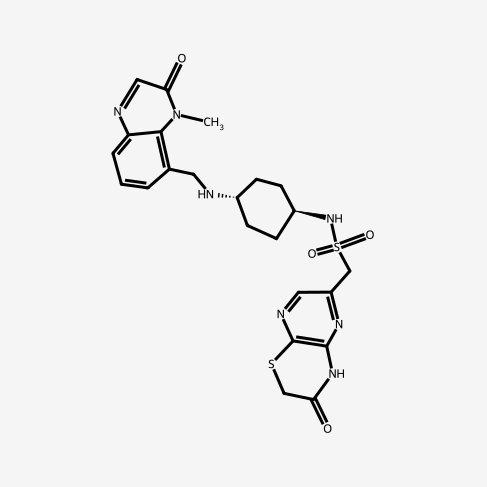 Cn1c(=O)cnc2cccc(CN[C@H]3CC[C@H](NS(=O)(=O)Cc4cnc5c(n4)NC(=O)CS5)CC3)c21